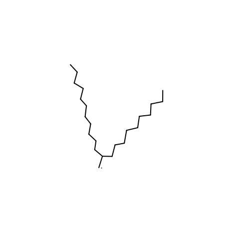 [CH2]C(CCCCCCCCCC)CCCCCCCCCCC